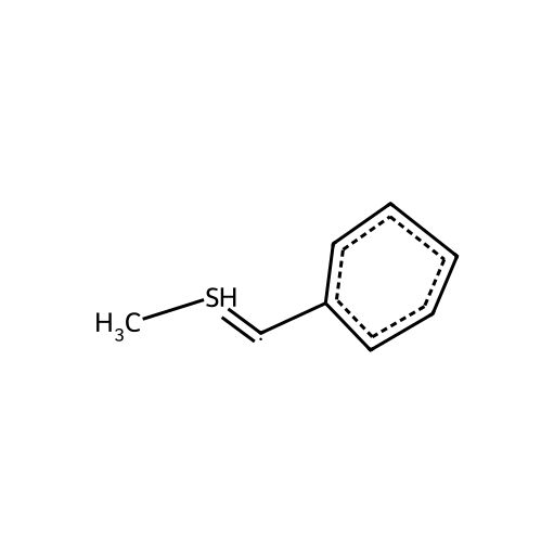 C[SH]=[C]c1ccccc1